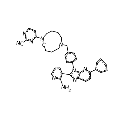 N#Cc1nccc(N2CCCCN(Cc3ccc(-n4c(-c5cccnc5N)nc5ccc(-c6ccccc6)nc54)cc3)CCCC2)n1